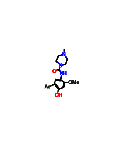 COc1cc(O)c(C(C)=O)cc1NC(=O)N1CCN(C)CC1